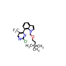 C[Si](C)(C)CCOCn1ccc2cccc(-c3nc(Cl)ncc3C(F)(F)F)c21